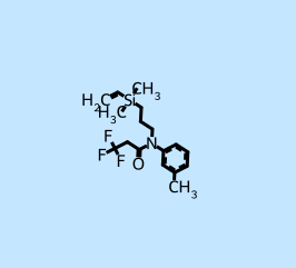 C=C[Si](C)(C)CCCN(C(=O)CC(F)(F)F)c1cccc(C)c1